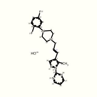 Cc1c(/C=C/CN2CCN(c3cc(F)ccc3F)CC2)cnn1-c1ncccn1.Cl